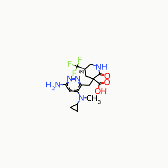 CN(c1cc(N)nnc1CC1(C(=O)O)C[C@@H](C(F)(F)F)CNC1=O)C1CC1